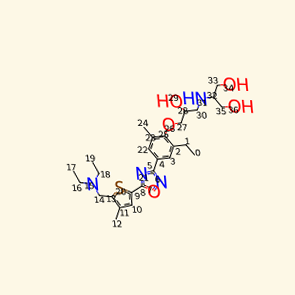 CCc1cc(-c2noc(-c3cc(C)c(CN(CC)CC)s3)n2)cc(C)c1OCC(O)CNC(CO)CO